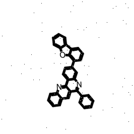 c1ccc(-c2nc3cc(-c4cccc5c4oc4ccccc45)ccc3c3nc4ccccc4cc23)cc1